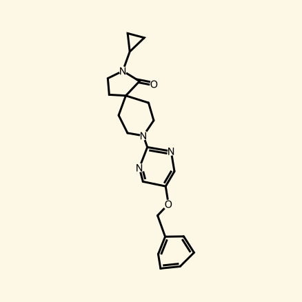 O=C1N(C2CC2)CCC12CCN(c1ncc(OCc3ccccc3)cn1)CC2